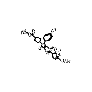 COc1ncc(-c2nc3c(n2C(C)C)C(c2ccc(Cl)cc2)N(C2CCC(C(=O)OC(C)(C)C)CC2)C3=O)c(O)n1